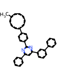 Cc1cccccc(-c2ccc(-c3nc(-c4ccccc4)cc(-c4cccc(-c5ccccc5)c4)n3)cc2)ccc1